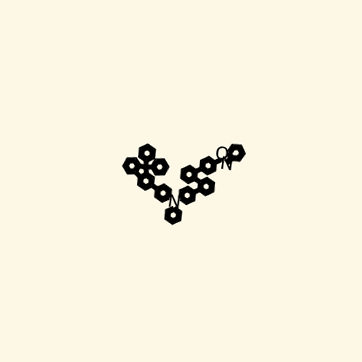 c1ccc(N(c2ccc(-c3ccc4c(c3)C(c3ccccc3)(c3ccccc3)c3ccccc3-4)cc2)c2ccc(-c3ccccc3-c3ccccc3-c3ccc(-c4nc5ccccc5o4)cc3)cc2)cc1